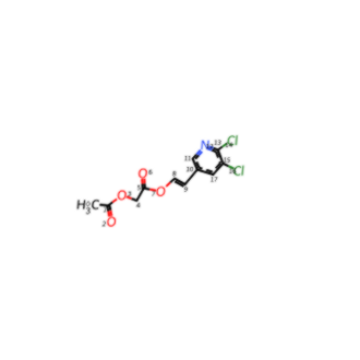 CC(=O)OCC(=O)OC=Cc1cnc(Cl)c(Cl)c1